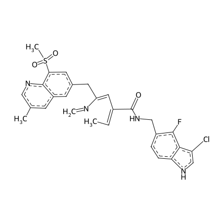 C=N/C(=C\C(=C/C)C(=O)NCc1ccc2[nH]cc(Cl)c2c1F)Cc1cc(S(C)(=O)=O)c2ncc(C)cc2c1